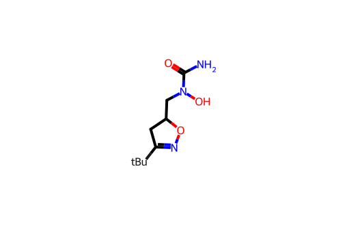 CC(C)(C)C1=NOC(CN(O)C(N)=O)C1